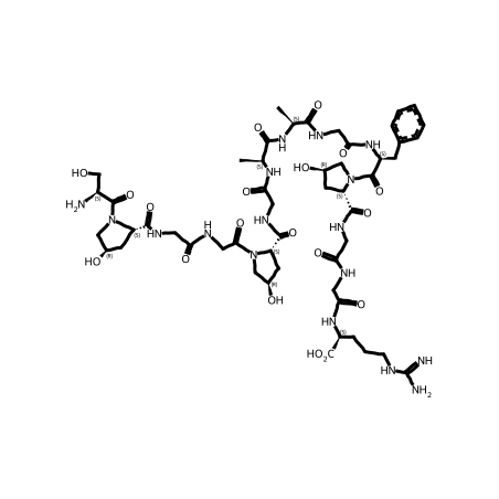 C[C@H](NC(=O)CNC(=O)[C@@H]1C[C@@H](O)CN1C(=O)CNC(=O)CNC(=O)[C@@H]1C[C@@H](O)CN1C(=O)[C@@H](N)CO)C(=O)N[C@@H](C)C(=O)NCC(=O)N[C@@H](Cc1ccccc1)C(=O)N1C[C@H](O)C[C@H]1C(=O)NCC(=O)NCC(=O)N[C@@H](CCCNC(=N)N)C(=O)O